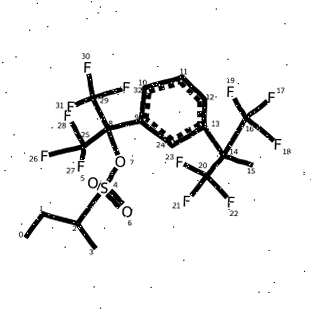 CCC(C)S(=O)(=O)OC(c1cccc(C(C)(C(F)(F)F)C(F)(F)F)c1)(C(F)(F)F)C(F)(F)F